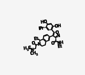 CCNC(=O)c1noc(-c2cc(C(C)C)c(O)cc2O)c1-c1ccc2c(c1)CCN(C(=O)CN(C)C)C2CC